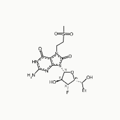 CCC(O)[C@H]1O[C@@H](n2c(=O)n(CCS(C)(=O)=O)c3c(=O)[nH]c(N)nc32)[C@H](O)[C@H]1F